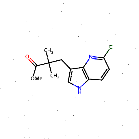 COC(=O)C(C)(C)Cc1c[nH]c2ccc(Cl)nc12